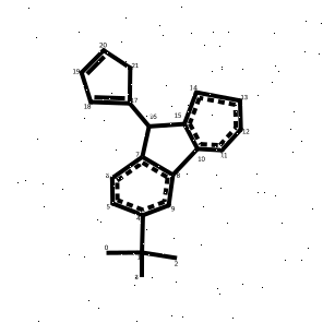 CC(C)(C)c1c[c]c2c(c1)-c1ccccc1C2C1=CC=CC1